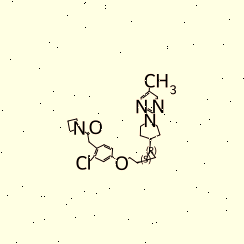 Cc1cnc(N2CCC([C@H]3C[C@H]3CCOc3ccc(CC(=O)N4CCC4)c(Cl)c3)CC2)nc1